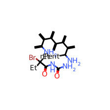 C=C(N)C(=C)C(=C)C(=C)C(=C)C(=C)C(N)CCCCC.CCC(Br)(CC)C(=O)NC(N)=O